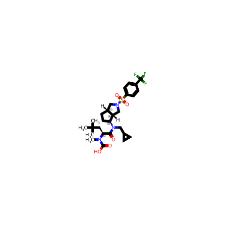 CN(C(=O)O)[C@@H](CC(C)(C)C)C(=O)N(CC1CC1)[C@H]1CC[C@@H]2CN(S(=O)(=O)c3ccc(C(F)(F)F)cc3)C[C@@H]21